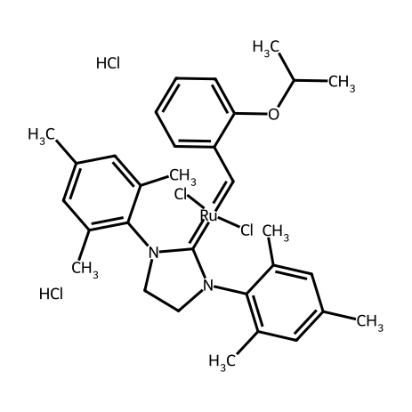 Cc1cc(C)c(N2CCN(c3c(C)cc(C)cc3C)[C]2=[Ru]([Cl])([Cl])=[CH]c2ccccc2OC(C)C)c(C)c1.Cl.Cl